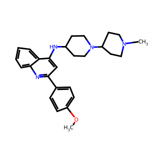 COc1ccc(-c2cc(NC3CCN(C4CCN(C)CC4)CC3)c3ccccc3n2)cc1